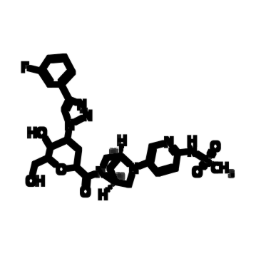 CS(=O)(=O)Nc1ccc(N2C[C@@H]3C[C@H]2CN3C(=O)C2CC(n3cc(-c4cccc(F)c4)nn3)C(O)C(CO)O2)cn1